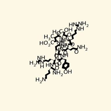 C[C@@H](CC(=O)O)C(=O)N[C@H](C(=O)N[C@@H](CCCCNC(=N)N)C(=O)N[C@@H](CCC(N)=O)C(=O)N[C@@H](CCC(N)=O)C(=O)N[C@@H](Cc1ccc(O)cc1)C(=O)N[C@@H](CCCNC(=N)N)C(=O)N[C@@H](CCCCN)C(N)=O)[C@@H](C)O